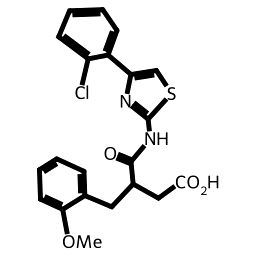 COc1ccccc1CC(CC(=O)O)C(=O)Nc1nc(-c2ccccc2Cl)cs1